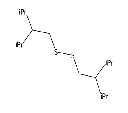 CC(C)C(CSSCC(C(C)C)C(C)C)C(C)C